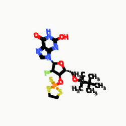 CC(C)(C)[Si](C)(C)OC[C@H]1O[C@@H](n2cnc3c(=O)[nH]c(O)nc32)[C@H](F)[C@@H]1OP1(=S)SCCS1